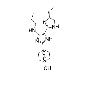 CCCNc1nc(C23CCC(O)(CC2)CC3)[nH]c1C1=N[C@@H](CC)CN1